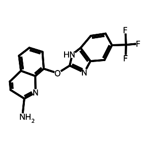 Nc1ccc2cccc(Oc3nc4cc(C(F)(F)F)ccc4[nH]3)c2n1